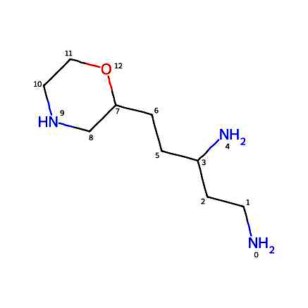 NCCC(N)CCC1CNCCO1